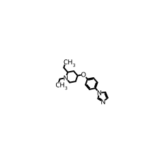 CCC1CC(Oc2ccc(-n3ccnc3)cc2)CCN1CC